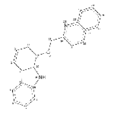 C1=CC2c3ccccc3NC2C(OCc2ccc3ccccc3n2)C1